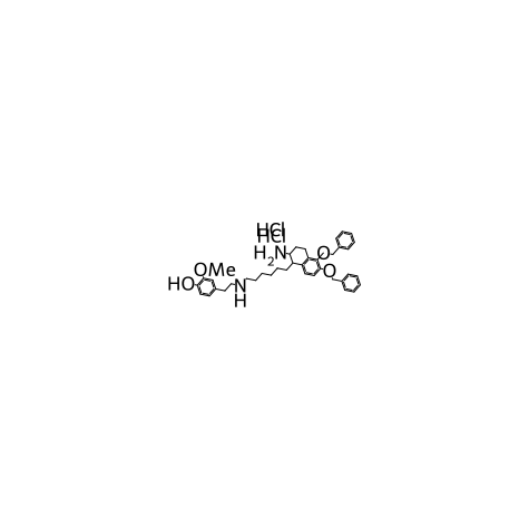 COc1cc(CCNCCCCCCC2c3ccc(OCc4ccccc4)c(OCc4ccccc4)c3CCC2N)ccc1O.Cl.Cl